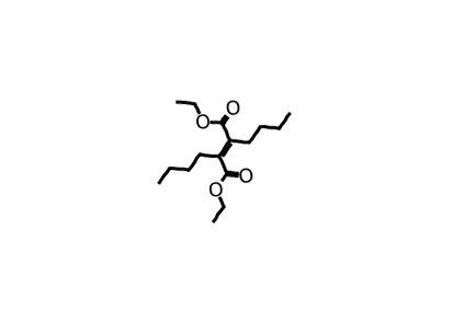 CCCCC(C(=O)OCC)=C(CCCC)C(=O)OCC